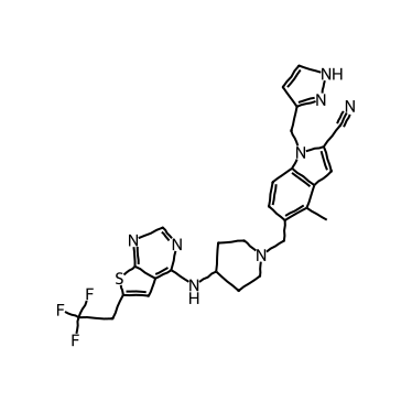 Cc1c(CN2CCC(Nc3ncnc4sc(CC(F)(F)F)cc34)CC2)ccc2c1cc(C#N)n2Cc1cc[nH]n1